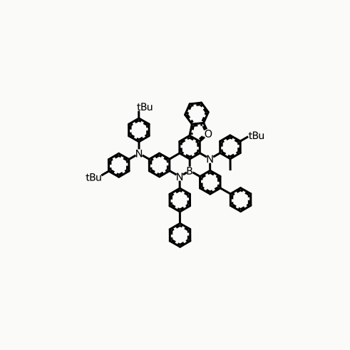 Cc1cc(C(C)(C)C)ccc1N1c2cc(-c3ccccc3)ccc2B2c3c(cc4c(oc5ccccc54)c31)-c1cc(N(c3ccc(C(C)(C)C)cc3)c3ccc(C(C)(C)C)cc3)ccc1N2c1ccc(-c2ccccc2)cc1